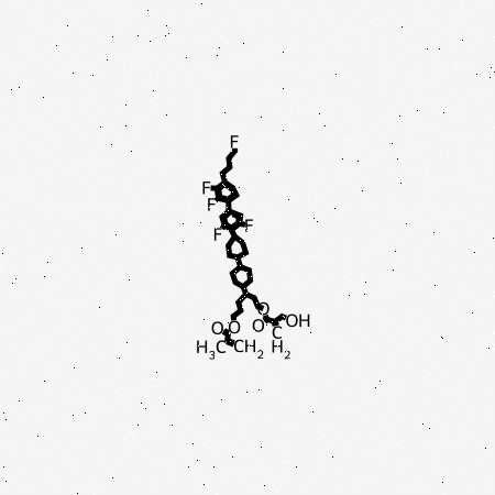 C=C(C)C(=O)OCCCC(CCOC(=O)C(=C)CO)C1CCC(C2CCC(c3c(F)cc(-c4ccc(CCCCF)c(F)c4F)cc3F)CC2)CC1